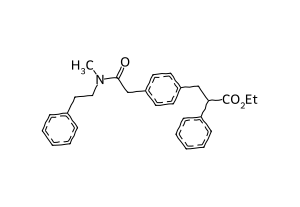 CCOC(=O)C(Cc1ccc(CC(=O)N(C)CCc2ccccc2)cc1)c1ccccc1